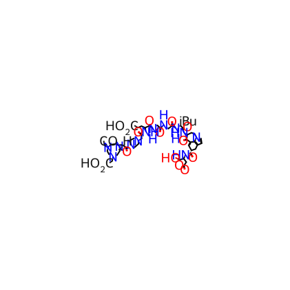 CCC(C)C(NC(=O)CNC(=O)CNC(=O)C(CCC(=O)O)NC(=O)CN1CCN(C(=O)CN2CCN(CC(=O)O)CCN(CC(=O)O)CC2)CC1)C(=O)N[C@H]1CCn2ccc3c2C(=C[C@@H](C(=O)NC2CC(=O)OC2O)C3)C1=O